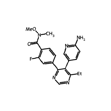 CCc1ncnc(-c2ccc(C(=O)N(C)OC)c(F)c2)c1-c1ccc(N)nc1